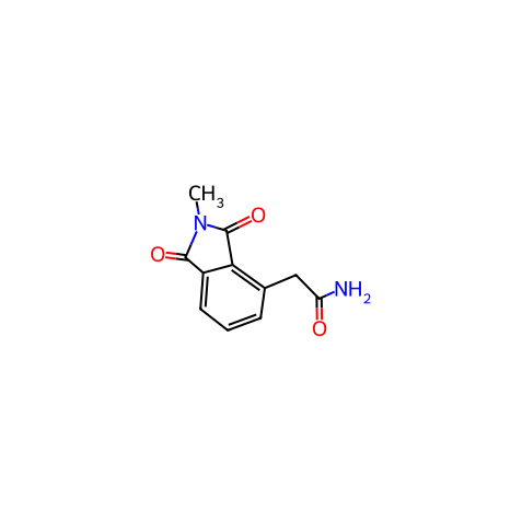 CN1C(=O)c2cccc(CC(N)=O)c2C1=O